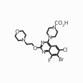 O=C(O)N1CCN(c2nc(OCCN3CCOCC3)nc3c(F)c(Br)c(Cl)cc23)CC1